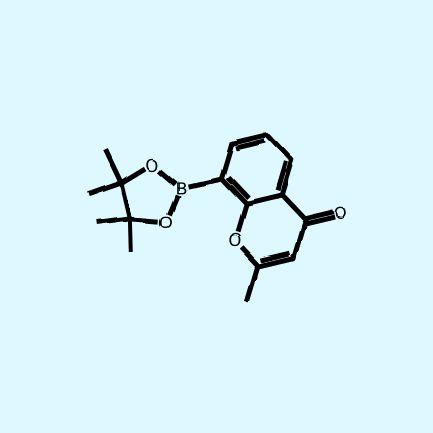 Cc1cc(=O)c2cccc(B3OC(C)(C)C(C)(C)O3)c2o1